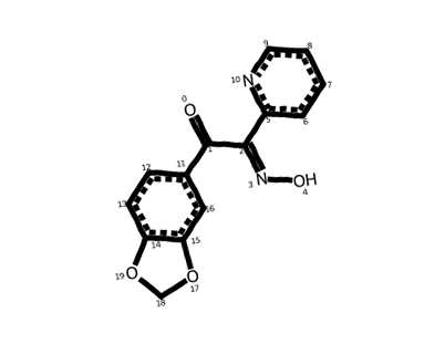 O=C(C(=NO)c1ccccn1)c1ccc2c(c1)OCO2